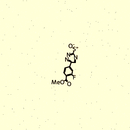 COC(=O)c1ccc(-c2cnc([S+](C)[O-])nn2)cc1F